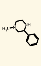 CN1CCN[C](c2ccccc2)C1